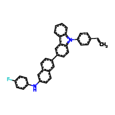 C=Cc1ccc(-n2c3ccccc3c3cc(-c4ccc5cc(Nc6ccc(F)cc6)ccc5c4)ccc32)cc1